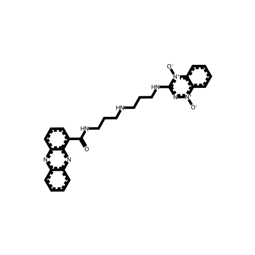 O=C(NCCCNCCCNc1n[n+]([O-])c2ccccc2[n+]1[O-])c1cccc2nc3ccccc3nc12